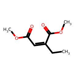 CC/C(=C/C(=O)OC)C(=O)OC